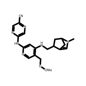 COOCc1cnc(Nc2cnc(C#N)cn2)cc1NCC1CC2CC1=CN2C